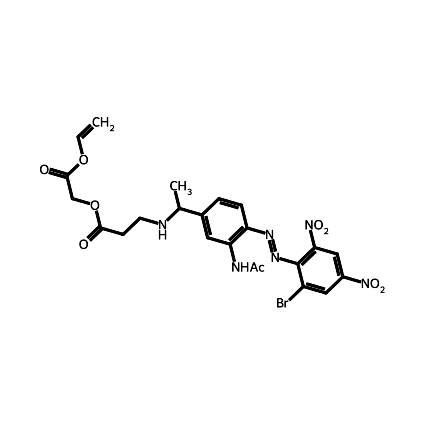 C=COC(=O)COC(=O)CCNC(C)c1ccc(N=Nc2c(Br)cc([N+](=O)[O-])cc2[N+](=O)[O-])c(NC(C)=O)c1